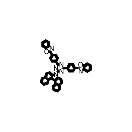 c1ccc2c(c1)ccc1c2c2c3ccccc3ccc2n1-c1nc(-c2ccc(-c3nc4ccccc4o3)cc2)nc(-c2ccc(-c3nc4ccccc4o3)cc2)n1